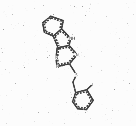 Ic1ccccc1CSc1nnc2c(n1)[nH]c1ccccc12